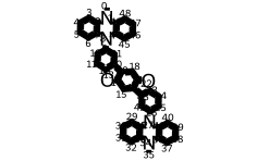 CN1c2ccccc2N(c2ccc3oc4cc5c(cc4c3c2)oc2ccc(N3c4ccccc4N(C)c4ccccc43)cc25)c2ccccc21